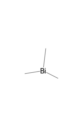 [CH3][Bi]([CH3])[CH3]